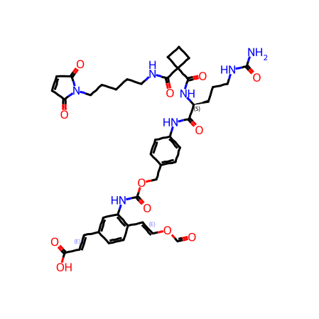 NC(=O)NCCC[C@H](NC(=O)C1(C(=O)NCCCCCN2C(=O)C=CC2=O)CCC1)C(=O)Nc1ccc(COC(=O)Nc2cc(/C=C/C(=O)O)ccc2/C=C/OC=O)cc1